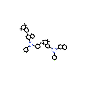 CC1(C)CCC(C)(C)c2cc(-c3ccc(-c4nc(-c5ccc(F)cc5)nc(-c5cccc(CC6(C)CCC(C)(C)c7cc(-c8nc(-c9ccc(F)cc9)nc(-c9ccc%10ccccc%10c9)n8)ccc76)c5)n4)c4ccccc34)ccc21